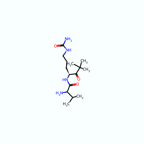 CC(C)C(N)C(=O)N[C@@H](CCCNC(N)=O)C(=O)C(C)(C)C